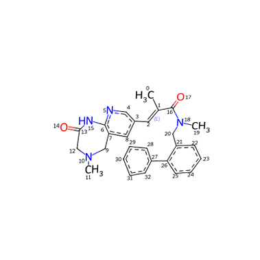 C/C(=C\c1cnc2c(c1)CN(C)CC(=O)N2)C(=O)N(C)Cc1ccccc1-c1ccccc1